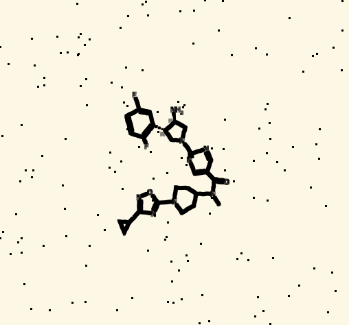 CN(C(=O)c1cnc(N2C[C@H](c3cc(F)ccc3F)[C@@H](N)C2)nc1)C1CCN(c2nc(C3CC3)no2)CC1